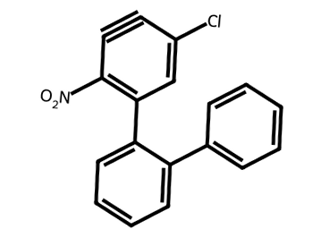 O=[N+]([O-])c1c#cc(Cl)cc1-c1ccccc1-c1ccccc1